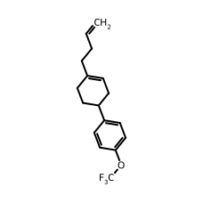 C=CCCC1=CCC(c2ccc(OC(F)(F)F)cc2)CC1